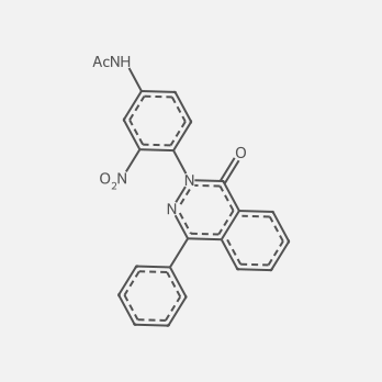 CC(=O)Nc1ccc(-n2nc(-c3ccccc3)c3ccccc3c2=O)c([N+](=O)[O-])c1